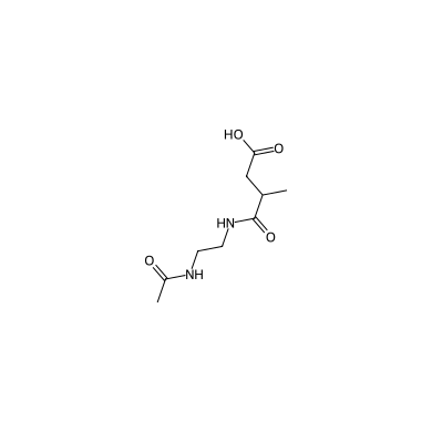 CC(=O)NCCNC(=O)C(C)CC(=O)O